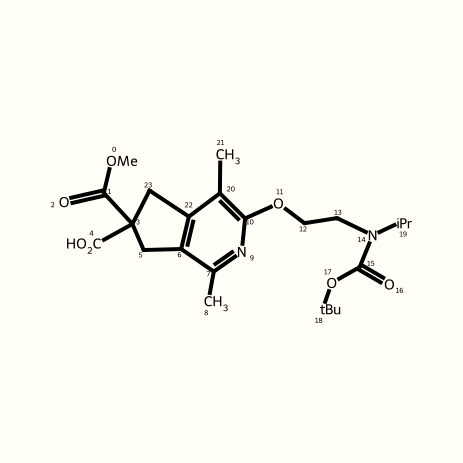 COC(=O)C1(C(=O)O)Cc2c(C)nc(OCCN(C(=O)OC(C)(C)C)C(C)C)c(C)c2C1